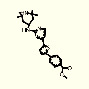 COC(=O)c1ccc(-c2ccc(-c3ccnc(NC4CC(C)(C)NC(C)(C)C4)n3)s2)cc1